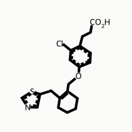 O=C(O)CCc1ccc(OCC2=C(Cc3cncs3)CCCC2)cc1Cl